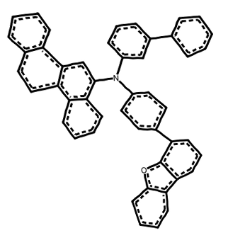 c1ccc(-c2cccc(N(c3ccc(-c4cccc5c4oc4ccccc45)cc3)c3cc4c5ccccc5ccc4c4ccccc34)c2)cc1